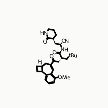 COc1cccc2c1C=C(C(=O)C[C@@H](CC(C)(C)C)C(=O)N[C@H](C#N)C[C@@H]1CCCNC1=O)C[C@@H]1CCC21